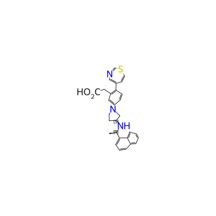 C[C@@H](N[C@H]1CCN(c2ccc(C3=CN=CSC=C3)c(CC(=O)O)c2)C1)c1cccc2ccccc12